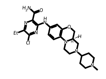 CCc1nc(C(N)=O)c(Nc2ccc3c(c2)OC[C@H]2CN(C4CCN(C)CC4)CCN32)nc1Cl